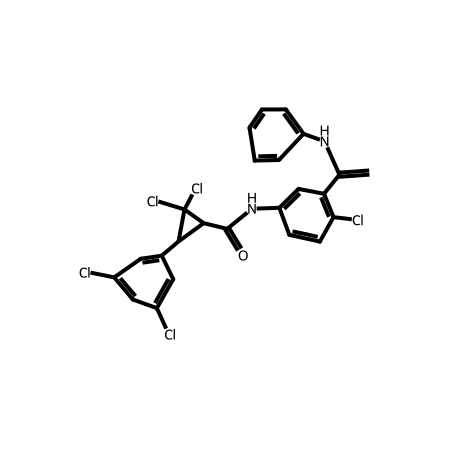 C=C(Nc1ccccc1)c1cc(NC(=O)C2C(c3cc(Cl)cc(Cl)c3)C2(Cl)Cl)ccc1Cl